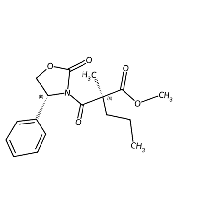 CCC[C@](C)(C(=O)OC)C(=O)N1C(=O)OC[C@H]1c1ccccc1